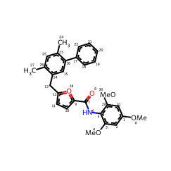 COc1cc(OC)c(NC(=O)c2ccc(Cc3cc(-c4ccccc4)c(C)cc3C)o2)c(OC)c1